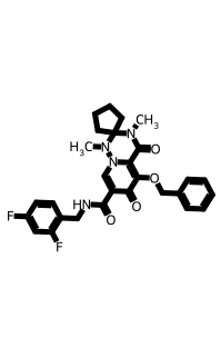 CN1C(=O)c2c(OCc3ccccc3)c(=O)c(C(=O)NCc3ccc(F)cc3F)cn2N(C)C12CCCC2